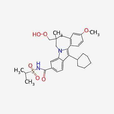 COc1ccc2c(c1)CC(C)(COO)Cn1c-2c(C2CCCCC2)c2ccc(C(=O)NS(=O)(=O)C(C)C)cc21